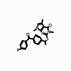 Cc1cn(C)c2nc(SC(C)c3ccc(C(=O)c4ccc(F)cc4)cc3)n(C)c(=O)c12